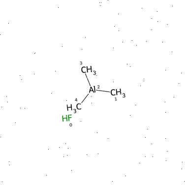 F.[CH3][Al]([CH3])[CH3]